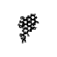 COC(=O)[C@H]1CN(C(=O)OC(C)(C)C)[C@H](C)CN1c1c([N+](=O)[O-])c(=O)n(-c2c(C)ccnc2C(C)C)c2c(F)c(Cl)c(F)cc12